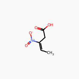 C/C=C(\CC(=O)O)[N+](=O)[O-]